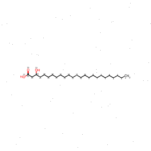 CCCCCCCCCCCCCCCCCCCCCCC(O)CC(=O)O